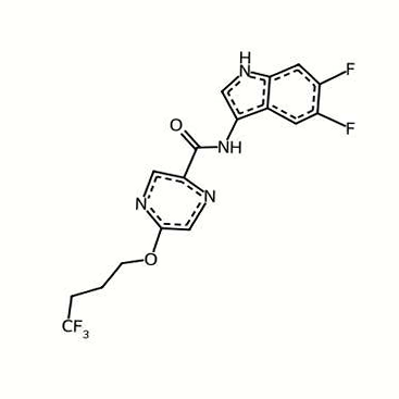 O=C(Nc1c[nH]c2cc(F)c(F)cc12)c1cnc(OCCCC(F)(F)F)cn1